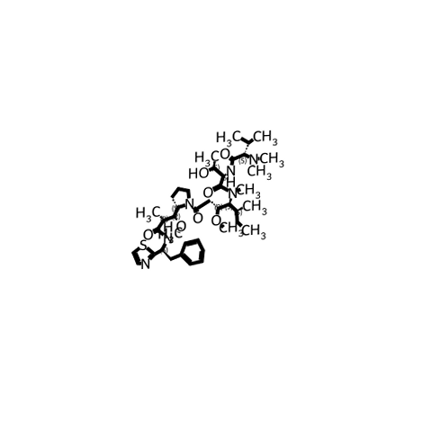 CC[C@H](C)[C@@H]([C@@H](CC(=O)N1CCC[C@H]1[C@H](OC)[C@@H](C)C(=O)N[C@@H](Cc1ccccc1)c1nccs1)OC)N(C)C(=O)[C@@H](NC(=O)[C@H](C(C)C)N(C)C)[C@H](C)O